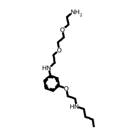 CCCCNCCOc1cccc(NCCOCCOCCN)c1